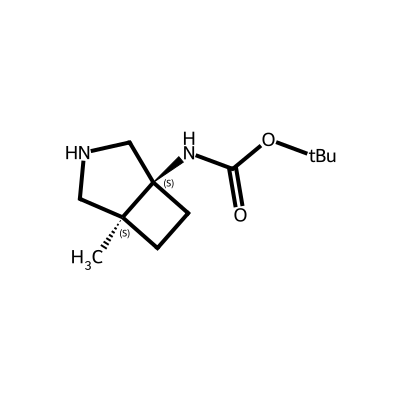 CC(C)(C)OC(=O)N[C@@]12CC[C@@]1(C)CNC2